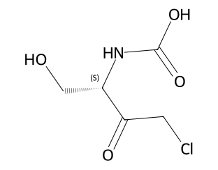 O=C(O)N[C@@H](CO)C(=O)CCl